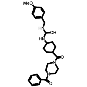 COc1ccc(CNC(O)NC2CCC(C(=O)N3CCN(C(=O)c4ccccc4)CC3)CC2)cc1